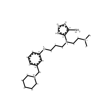 CN(C)CCN(CCCOc1cccc(CN2CCCCC2)c1)c1nsnc1N